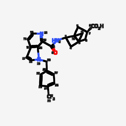 O=C(NC1CC23C[C@H](C(=O)O)CC12C3)c1nccc2ccn(Cc3ccc(C(F)(F)F)cc3)c12